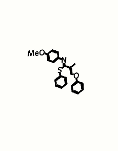 COc1ccc(N=C(Sc2ccccc2)/C(C)=C/Oc2ccccc2)cc1